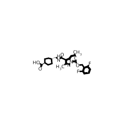 Cc1cc(OCc2c(F)cccc2F)n2nc(C)c(C(=O)NC[C@H]3CC[C@H](C(=O)O)CC3)c2c1